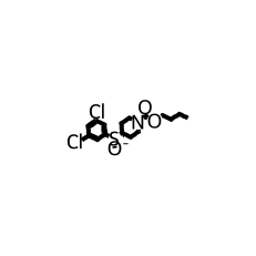 CCCCOC(=O)N1CCC([S+]([O-])c2cc(Cl)cc(Cl)c2)CC1